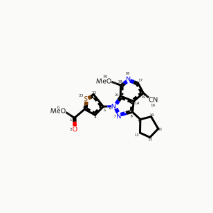 COC(=O)c1cc(-n2nc(C3CCCC3)c3c(C#N)cnc(OC)c32)cs1